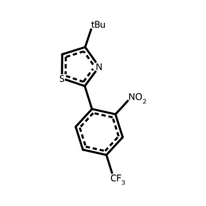 CC(C)(C)c1csc(-c2ccc(C(F)(F)F)cc2[N+](=O)[O-])n1